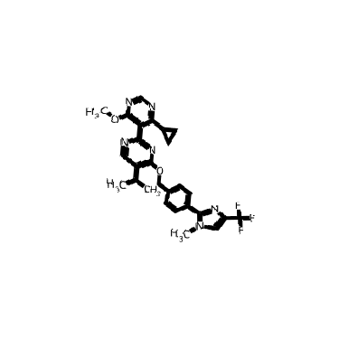 COc1ncnc(C2CC2)c1-c1ncc(C(C)C)c(OCc2ccc(-c3nc(C(F)(F)F)cn3C)cc2)n1